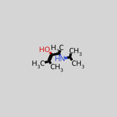 CC(C)=C(O)C(C)NC(C)C